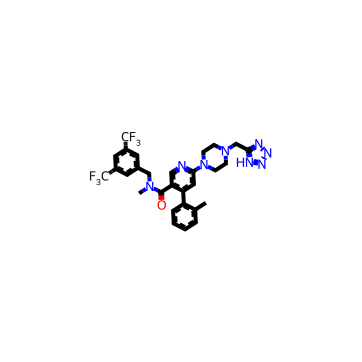 Cc1ccccc1-c1cc(N2CCN(Cc3nnn[nH]3)CC2)ncc1C(=O)N(C)Cc1cc(C(F)(F)F)cc(C(F)(F)F)c1